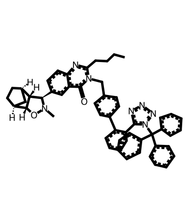 CCCCc1nc2ccc([C@@H]3[C@H]4[C@@H]5CC[C@@H](C5)[C@H]4ON3C)cc2c(=O)n1Cc1ccc(-c2ccccc2-c2nnnn2C(c2ccccc2)(c2ccccc2)c2ccccc2)cc1